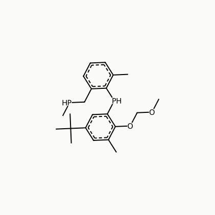 COCOc1c(C)cc(C(C)(C)C)cc1Pc1c(C)cccc1CPC